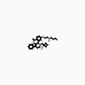 CCc1ccc(OCCNCCCF)cc1C1c2[nH]c3ccccc3c2C[C@@H](C)N1CC1(F)CCC1